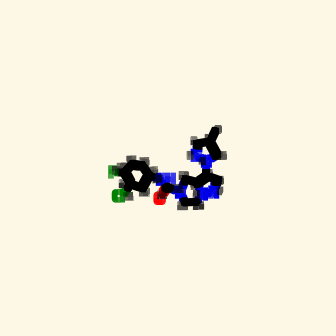 Cc1cnn(-c2cnn3c2CN(C(=O)Nc2ccc(F)c(Cl)c2)CC3)c1